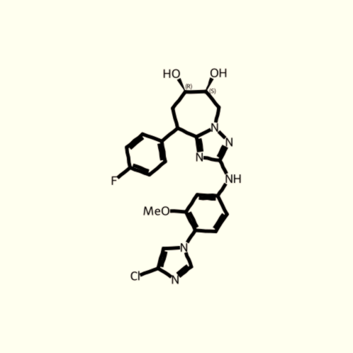 COc1cc(Nc2nc3n(n2)C[C@H](O)[C@H](O)CC3c2ccc(F)cc2)ccc1-n1cnc(Cl)c1